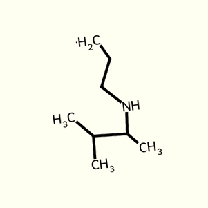 [CH2]CCNC(C)C(C)C